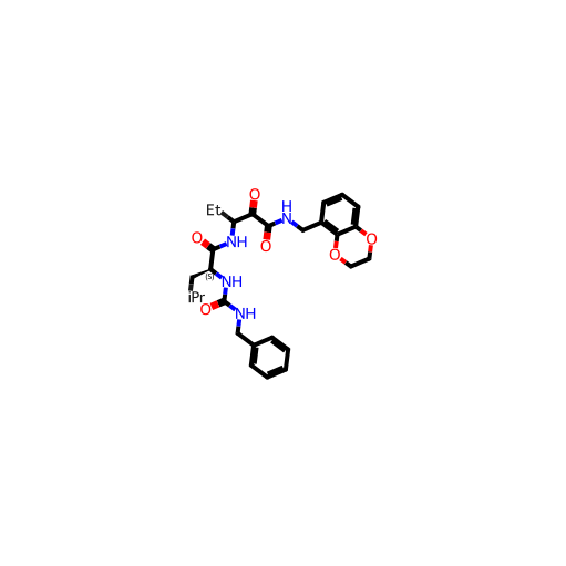 CCC(NC(=O)[C@H](CC(C)C)NC(=O)NCc1ccccc1)C(=O)C(=O)NCc1cccc2c1OCCO2